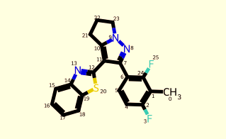 Cc1c(F)ccc(-c2nn3c(c2-c2nc4ccccc4s2)CCC3)c1F